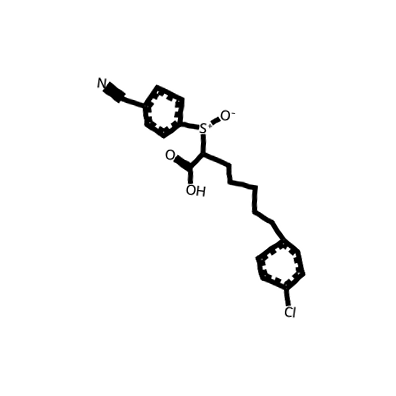 N#Cc1ccc([S+]([O-])C(CCCCCc2ccc(Cl)cc2)C(=O)O)cc1